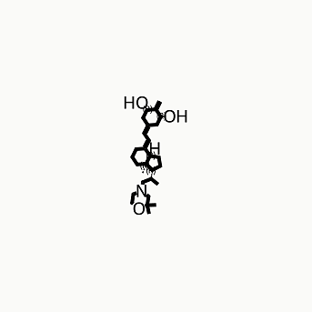 C=C1[C@H](O)CC(=CC=C2CCC[C@]3(C)[C@@H](C(C)CN4CCOC(C)(C)C4)CC[C@@H]23)C[C@H]1O